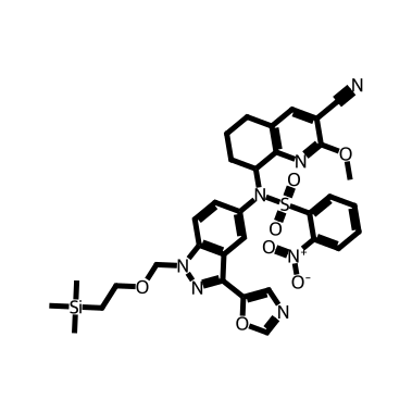 COc1nc2c(cc1C#N)CCCC2N(c1ccc2c(c1)c(-c1cnco1)nn2COCC[Si](C)(C)C)S(=O)(=O)c1ccccc1[N+](=O)[O-]